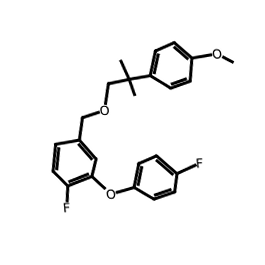 COc1ccc(C(C)(C)COCc2ccc(F)c(Oc3ccc(F)cc3)c2)cc1